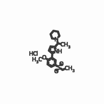 CCS(=O)(=O)c1ccc(OC)c(-c2ccc(C(C)N3CCCCC3)[nH]2)c1.Cl